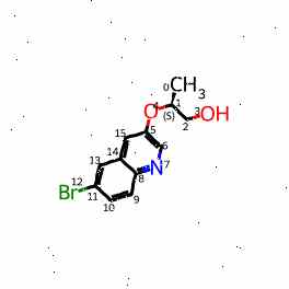 C[C@@H](CO)Oc1cnc2ccc(Br)cc2c1